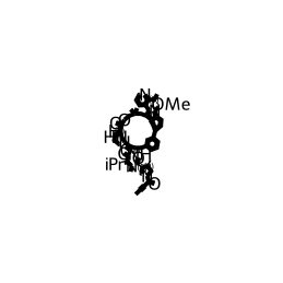 CC#CC(=O)N1C[C@H](C)[C@H](C(=O)N(C)C(C(=O)N[C@H]2Cc3cccc(c3)-c3ccc4c(c3)c(c(-c3cccnc3[C@H](C)OC)n4C)CC(C)(C)COC(=O)[C@@H]3CCCN(N3)C2=O)C(C)C)C1